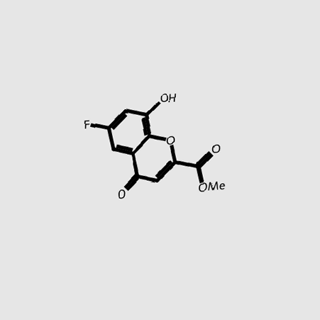 COC(=O)c1cc(=O)c2cc(F)cc(O)c2o1